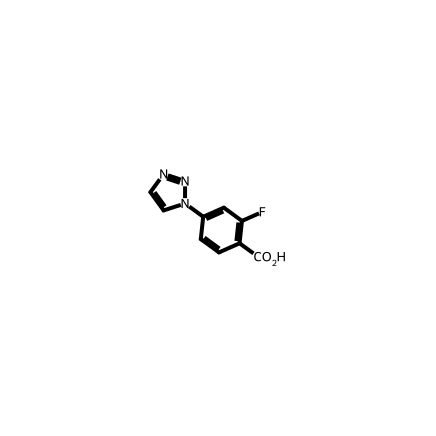 O=C(O)c1ccc(-n2ccnn2)cc1F